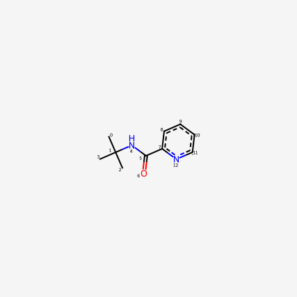 CC(C)(C)NC(=O)c1ccc[c]n1